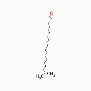 CC(C)CCCCCCCCCCCCCCCC[C]=O